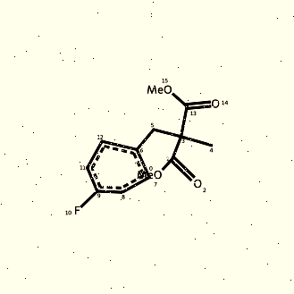 COC(=O)C(C)(Cc1ccc(F)cc1)C(=O)OC